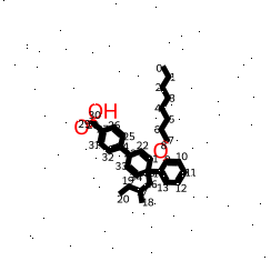 CCCCCCCCOc1ccccc1C1(CC(C)CC)C=CC(c2ccc(C(=O)O)cc2)C=C1